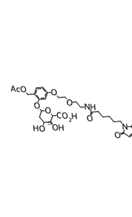 CC(=O)OCc1ccc(OCCOCCNC(=O)CCCCCN2C(=O)C=CC2=O)cc1OC1CC(O)[C@H](O)C(C(=O)O)O1